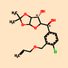 C=CCOCc1cc([C@H](O)C2OC3OC(C)(C)OC3[C@@H]2O)ccc1Cl